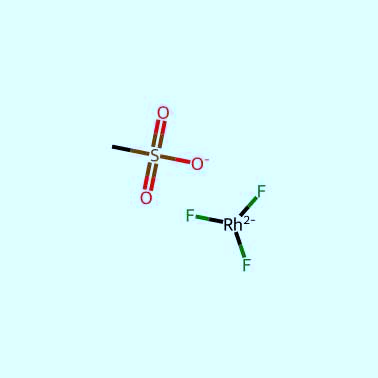 CS(=O)(=O)[O-].[F][Rh-2]([F])[F]